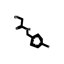 [C-]#[N+]CC(=O)NCc1ccc(F)cc1